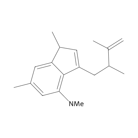 C=C(C)C(C)CC1=CC(C)c2cc(C)cc(NC)c21